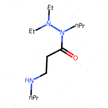 CCCNCCC(=O)N(CCC)N(CC)CC